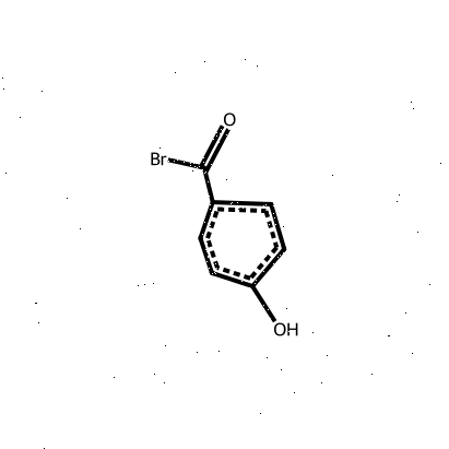 O=C(Br)c1ccc(O)cc1